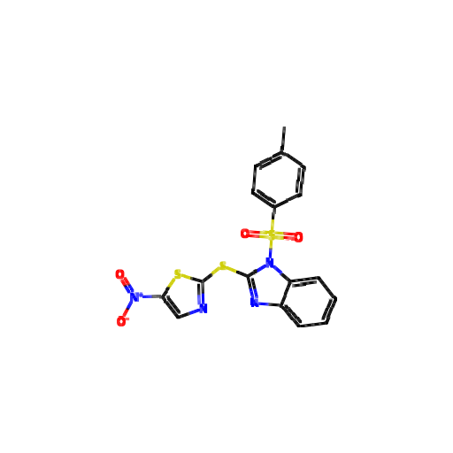 Cc1ccc(S(=O)(=O)n2c(Sc3ncc([N+](=O)[O-])s3)nc3ccccc32)cc1